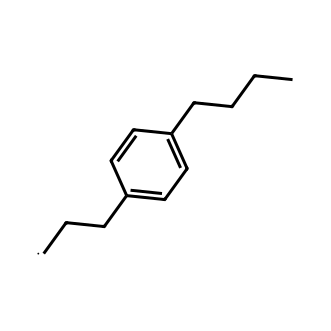 [CH2]CCc1ccc(CCCC)cc1